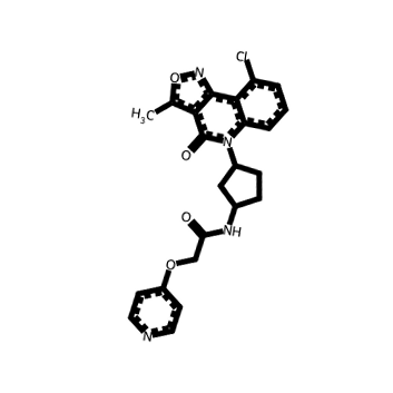 Cc1onc2c1c(=O)n(C1CCC(NC(=O)COc3ccncc3)C1)c1cccc(Cl)c21